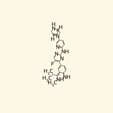 CN/C(=C1/C=C(c2nc(Nc3ccc(N4C[C@@H]5C[C@H]4CN5)cn3)ncc2F)C=CC1=N)C(C)C